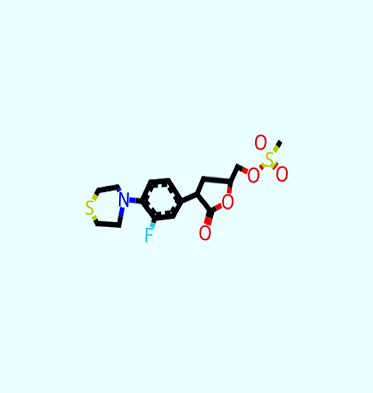 CS(=O)(=O)OCC1CC(c2ccc(N3CCSCC3)c(F)c2)C(=O)O1